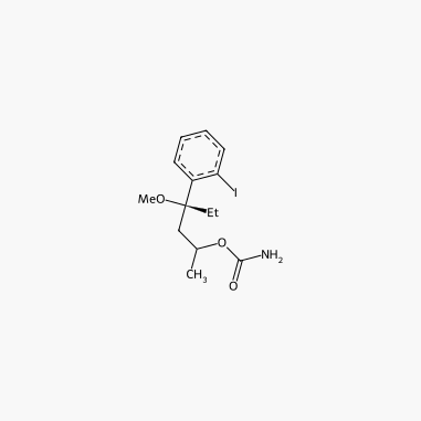 CC[C@@](CC(C)OC(N)=O)(OC)c1ccccc1I